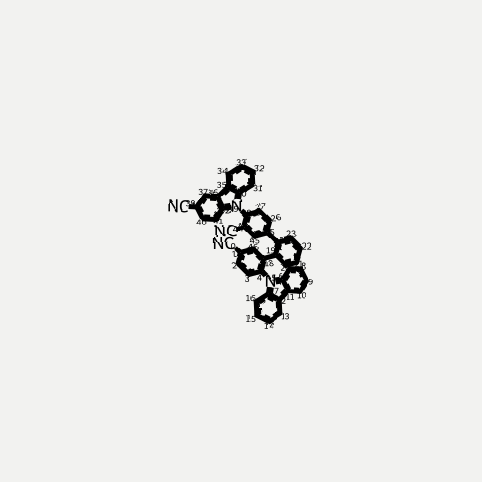 N#Cc1ccc(-n2c3ccccc3c3ccccc32)c(-c2ccccc2-c2ccc(-n3c4ccccc4c4cc(C#N)ccc43)c(C#N)c2)c1